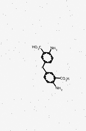 Nc1ccc([C]c2ccc(N)c(C(=O)O)c2)cc1C(=O)O